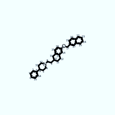 c1ccc(C2CCN(CCC3CCc4cc(OCc5ccc6ccccc6c5)ccc4C3)CC2)cc1